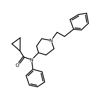 O=C(C1CC1)N(c1ccccc1)C1CCN(CCc2ccccc2)CC1